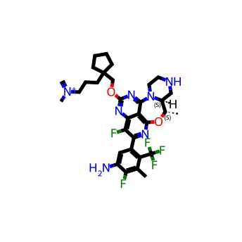 C=[N+](C)CCCC1(COc2nc3c4c(nc(-c5cc(N)c(F)c(C)c5C(F)(F)F)c(F)c4n2)O[C@@H](C)[C@@H]2CNCCN32)CCCC1